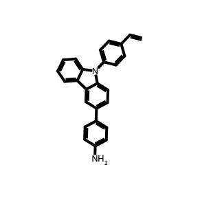 C=Cc1ccc(-n2c3ccccc3c3cc(-c4ccc(N)cc4)ccc32)cc1